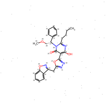 CCCCc1nc(O)c(-c2nnc(Cc3noc4ccccc34)o2)c(=O)n1[C@H](COC)c1ccccc1